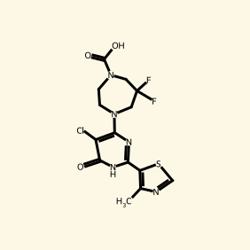 Cc1ncsc1-c1nc(N2CCN(C(=O)O)CC(F)(F)C2)c(Cl)c(=O)[nH]1